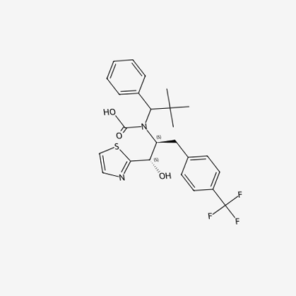 CC(C)(C)C(c1ccccc1)N(C(=O)O)[C@@H](Cc1ccc(C(F)(F)F)cc1)[C@H](O)c1nccs1